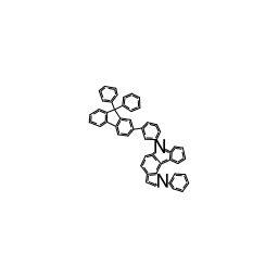 c1ccc(-n2ccc3ccc4c(c5ccccc5n4-c4cccc(-c5ccc6c(c5)C(c5ccccc5)(c5ccccc5)c5ccccc5-6)c4)c32)cc1